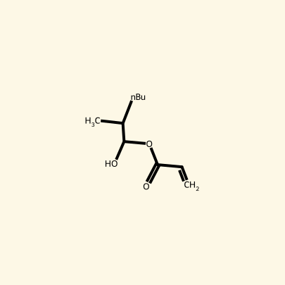 C=CC(=O)OC(O)C(C)CCCC